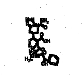 CO[C@]1(NC(=O)C(O)c2ccccc2)C(=O)N2C(C(=O)O)=C(C(CCC(N)=O)Sc3nnn[nH]3)CS[C@H]21